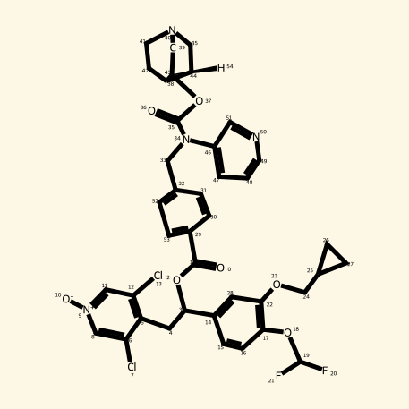 O=C(OC(Cc1c(Cl)c[n+]([O-])cc1Cl)c1ccc(OC(F)F)c(OCC2CC2)c1)c1ccc(CN(C(=O)O[C@H]2CN3CCC2CC3)c2cccnc2)cc1